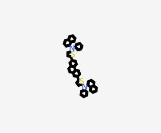 c1ccc(N(c2ccc(-c3ccc4c(ccc5cc(-c6ccc(N(c7ccccc7)c7cccc8ccccc78)s6)ccc54)c3)s2)c2cccc3ccccc23)cc1